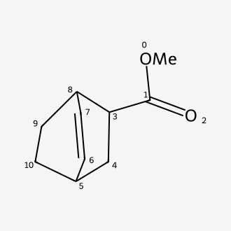 COC(=O)C1CC2C=CC1CC2